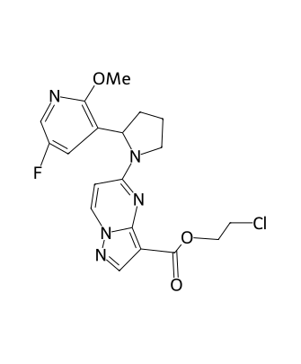 COc1ncc(F)cc1C1CCCN1c1ccn2ncc(C(=O)OCCCl)c2n1